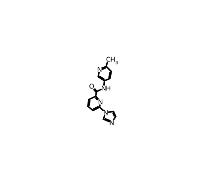 Cc1ccc(NC(=O)c2cccc(-n3ccnc3)n2)cn1